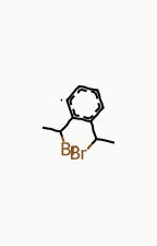 CC(Br)c1[c]cccc1C(C)Br